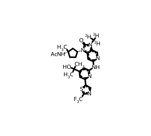 [2H]C([2H])([2H])n1c(=O)n([C@@H]2CC[C@](C)(NC(C)=O)C2)c2cc(Nc3cc(C(C)(C)O)cc(-c4cnc(C(F)(F)F)s4)n3)ncc21